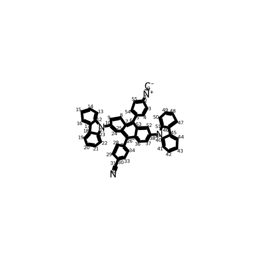 [C-]#[N+]c1ccc(-c2c3ccc(-n4c5ccccc5c5ccccc54)cc3c(-c3ccc(C#N)cc3)c3ccc(-n4c5ccccc5c5ccccc54)cc23)cc1